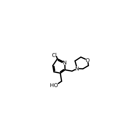 OCc1ccc(Cl)nc1CN1CCOCC1